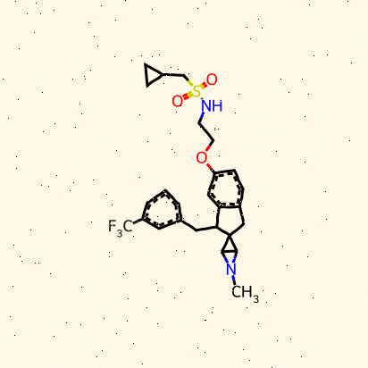 CN1C2C1C21Cc2ccc(OCCNS(=O)(=O)CC3CC3)cc2C1Cc1cccc(C(F)(F)F)c1